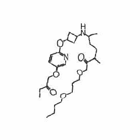 CCCCOCCCOCC(=O)C(C)CCC(C)N[C@H]1C[C@@H](Oc2ccc(OCC(=O)CC)cn2)C1